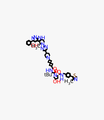 Cc1ncsc1-c1ccc(CNC(=O)[C@@H]2C[C@@H](O)CN2C(=O)[C@@H](NC(=O)C2CC3(C2)CC(N2CCC(c4cnc(N5CCc6[nH]c7nnc(-c8ccccc8O)cc7c6[C@@H]5C)nc4)CC2)C3)C(C)(C)C)cc1